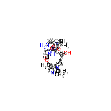 CCn1c(-c2cccnc2C(C)C)c2c3cc(ccc31)-c1cc(O)cc(c1)C[C@H](NC(=O)[C@H](C(C)C)N(C)C(=O)[C@H]1CC[C@H]1N)C(=O)N1CCC[C@H](N1)C(=O)OCC(C)(C)C2